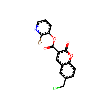 O=C(Oc1cccnc1Br)c1cc2cc(CCl)ccc2oc1=O